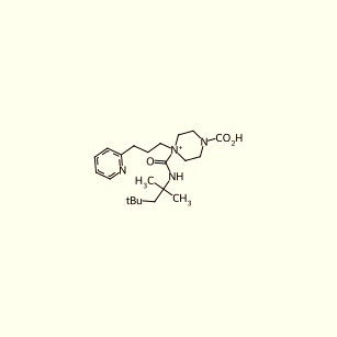 CC(C)(C)CC(C)(C)NC(=O)[N+]1(CCCc2ccccn2)CCN(C(=O)O)CC1